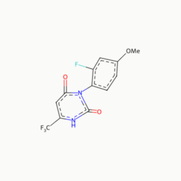 COc1ccc(-n2c(=O)cc(C(F)(F)F)[nH]c2=O)c(F)c1